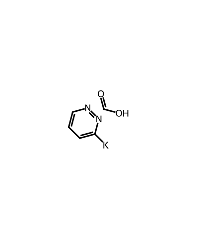 O=CO.[K][c]1cccnn1